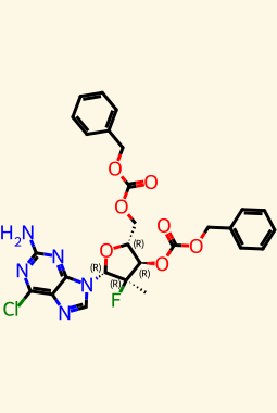 C[C@@]1(F)[C@H](OC(=O)OCc2ccccc2)[C@@H](COC(=O)OCc2ccccc2)O[C@H]1n1cnc2c(Cl)nc(N)nc21